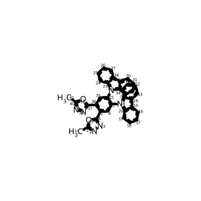 Cc1nnc(-c2cc(-n3c4ccccc4c4ccccc43)c(-n3c4ccccc4c4ccccc43)cc2-c2nnc(C)o2)o1